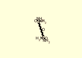 NC(=O)N(N)CCCCCC(=O)CCCCN(N)C(N)=O